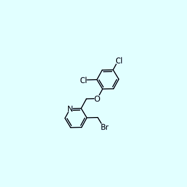 Clc1ccc(OCc2ncccc2CBr)c(Cl)c1